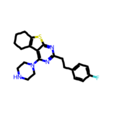 Fc1ccc(CCc2nc(N3CCNCC3)c3c4c(sc3n2)CCCC4)cc1